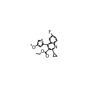 CCOC(=O)c1c(C2CC2)nc2ccc(F)cc2c1-c1cc(OC)cs1